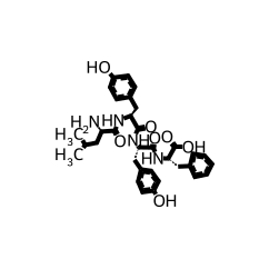 CC(C)C[C@H](N)C(=O)N[C@@H](Cc1ccc(O)cc1)C(=O)N[C@@H](Cc1ccc(O)cc1)C(=O)N[C@@H](Cc1ccccc1)C(=O)O